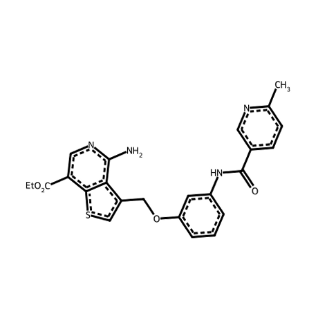 CCOC(=O)c1cnc(N)c2c(COc3cccc(NC(=O)c4ccc(C)nc4)c3)csc12